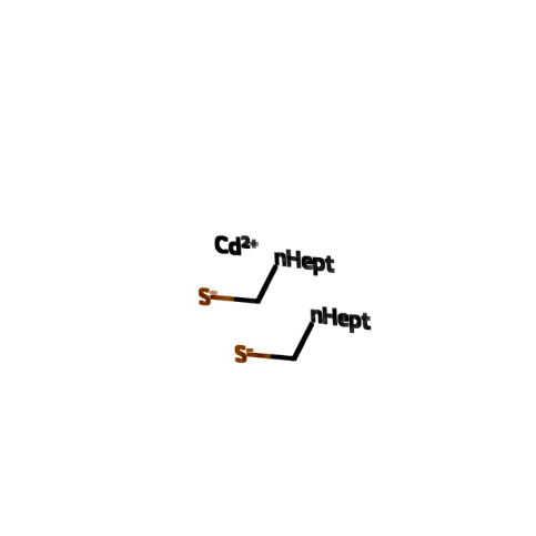 CCCCCCCC[S-].CCCCCCCC[S-].[Cd+2]